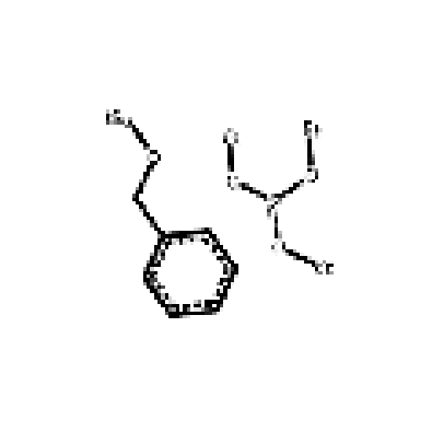 CC(C)(C)OCc1ccccc1.CCO[SiH](OCC)OCC